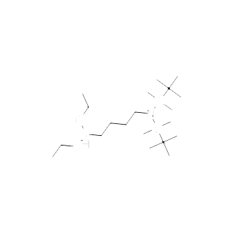 CCO[SiH](CCCCN([Si](C)(C)C(C)(C)C)[Si](C)(C)C(C)(C)C)OCC